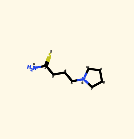 NC(=S)CCCN1CCCC1